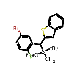 CO[Si](C)(C(c1cc2ccccc2s1)c1cc(Br)ccc1F)C(C)(C)C